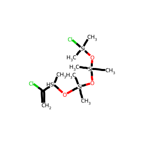 C=C(Cl)[SiH](C)O[Si](C)(C)O[Si](C)(C)O[Si](C)(C)Cl